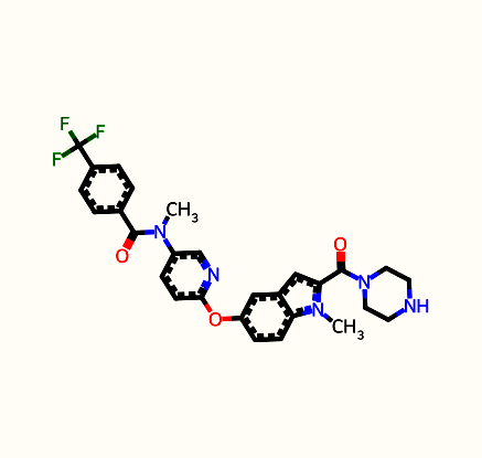 CN(C(=O)c1ccc(C(F)(F)F)cc1)c1ccc(Oc2ccc3c(c2)cc(C(=O)N2CCNCC2)n3C)nc1